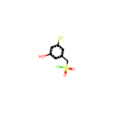 O=S(=O)(Cl)Cc1cc(O)cc(S)c1